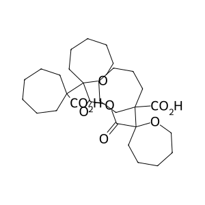 O=C(O)C1(C2(C(=O)OC(=O)C3(C4(C(=O)O)CCCCCC4)CCCCCO3)CCCCCO2)CCCCCC1